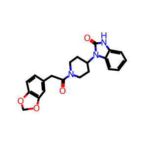 O=C(Cc1ccc2c(c1)OCO2)N1CCC(n2c(=O)[nH]c3ccccc32)CC1